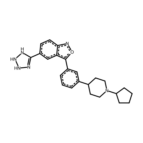 c1cc(-c2onc3ccc(C4=NNNN4)cc23)cc(C2CCN(C3CCCC3)CC2)c1